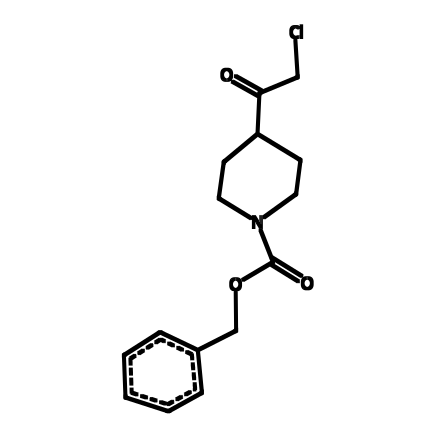 O=C(CCl)C1CCN(C(=O)OCc2ccccc2)CC1